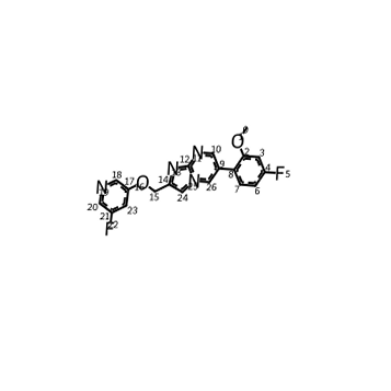 COc1cc(F)ccc1-c1cnc2nc(COc3cncc(F)c3)cn2c1